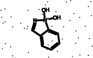 O[N+]1(O)N=Cc2ccccc21